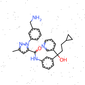 Cc1cc(C(=O)Nc2cccc(C(O)(CCC3CC3)c3cccnc3)c2)n(-c2cccc(CN)c2)n1